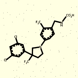 O=C(O)NCc1ccc(N2CCC(c3cc(Cl)cc(Cl)c3)(C(F)(F)F)C2)cc1C(F)(F)F